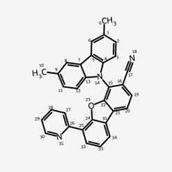 Cc1ccc2c(c1)c1cc(C)ccc1n2-c1c(C#N)ccc2c1oc1c(-c3ccccn3)cccc12